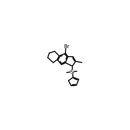 CC1=Cc2c(cc3c(c2Br)CCCC3)C1[Si](C)(C)C1=CC=CC1